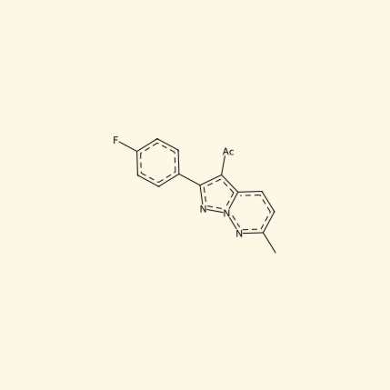 CC(=O)c1c(-c2ccc(F)cc2)nn2nc(C)ccc12